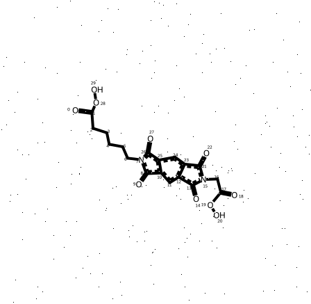 O=C(CCCCCn1c(=O)c2cc3c(=O)n(CC(=O)OO)c(=O)c3cc2c1=O)OO